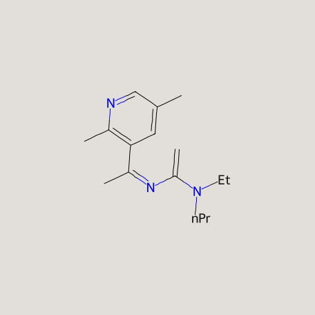 C=C(/N=C(/C)c1cc(C)cnc1C)N(CC)CCC